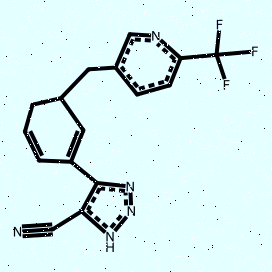 N#Cc1[nH]nnc1C1=CC(Cc2ccc(C(F)(F)F)nc2)CC=C1